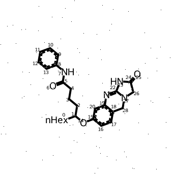 CCCCCCC(CCCC(=O)Nc1ccccc1)Oc1ccc2c(c1)N=C1NC(=O)CN1C2